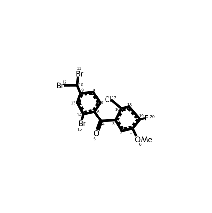 COc1cc(C(=O)c2ccc(C(Br)Br)cc2Br)c(Cl)cc1F